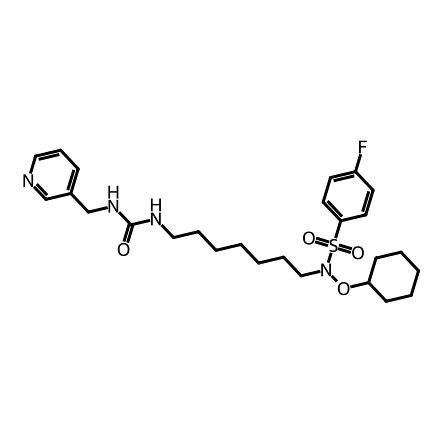 O=C(NCCCCCCCN(OC1CCCCC1)S(=O)(=O)c1ccc(F)cc1)NCc1cccnc1